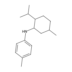 Cc1ccc(NC2CC(C)CCC2C(C)C)cc1